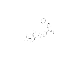 COc1ncc(OC)c2c(C(=O)C(=O)N3CCC(=C(C#N)c4nc(-c5ccccc5)cs4)CC3)c[nH]c12